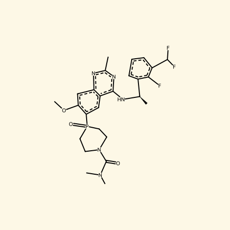 COc1cc2nc(C)nc(N[C@H](C)c3cccc(C(F)F)c3F)c2cc1P1(=O)CCN(C(=O)N(C)C)CC1